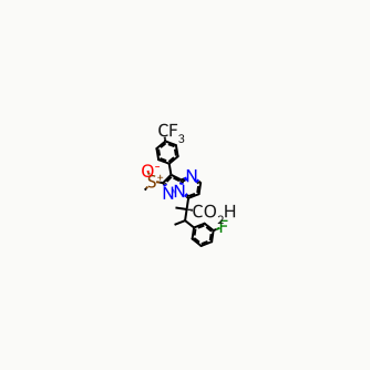 CC(c1cccc(F)c1)[C@@](C)(C(=O)O)c1ccnc2c(-c3ccc(C(F)(F)F)cc3)c([S+](C)[O-])nn12